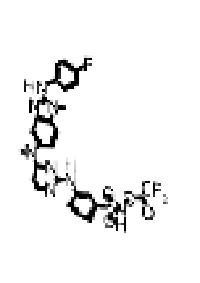 CN(c1ccc2c(c1)nc(Nc1ccc(F)cc1)n2C)c1ccnc(Nc2cccc(S(=O)(=O)NOC(=O)C(F)(F)F)c2)n1